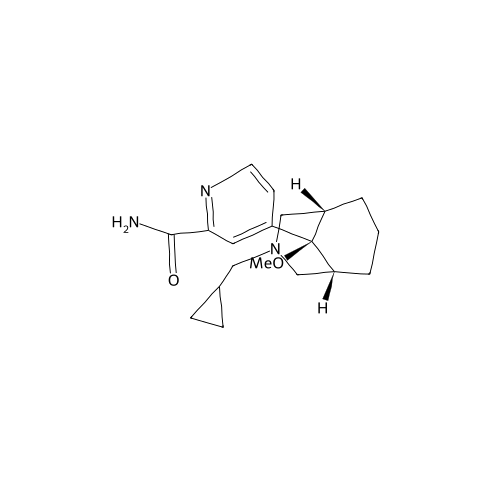 CO[C@]1(c2ccnc(C(N)=O)c2)[C@@H]2CCC[C@H]1CN(CC1CC1)C2